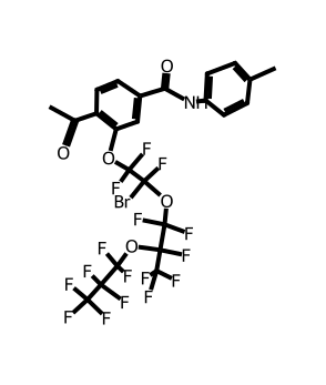 CC(=O)c1ccc(C(=O)Nc2ccc(C)cc2)cc1OC(F)(F)C(F)(Br)OC(F)(F)C(F)(OC(F)(F)C(F)(F)C(F)(F)F)C(F)(F)F